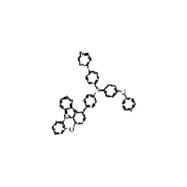 c1ccc(Oc2ccc(N(c3ccc(-c4ccncc4)cc3)c3ccc(-c4ccc5c6c4c4ccccc4n6-c4ccccc4O5)cc3)cc2)cc1